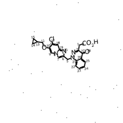 O=C(O)Cc1nn(Cc2cn3cc(OCC4CC4)c(Cl)cc3n2)c2ccccc2c1=O